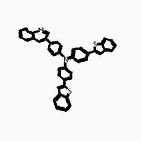 c1ccc2ncc(-c3ccc(N(c4ccc(-c5cc6ccccc6s5)cc4)c4ccc(-c5cc6ccccc6s5)cc4)cc3)cc2c1